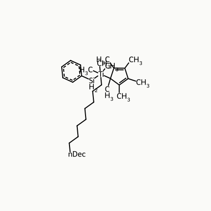 CCCCCCCCCCCCCCCCC[CH2][Ti]([CH3])([CH3])([CH3])([SiH2]c1ccccc1)[C]1(C)C(C)=C(C)C(C)=C1C